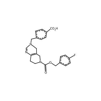 O=C(O)c1ccc(CN2C=NC3=C(C2)CN(C(=O)OCc2ccc(F)cc2)CC3)cc1